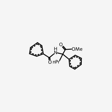 CCCC(NC(=O)c1ccccc1)(C(=O)OC)c1ccccc1